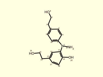 NN(c1ccc(CCO)cc1)c1cc(CCO)ccc1O